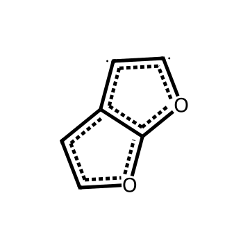 [c]1[c]c2ccoc2o1